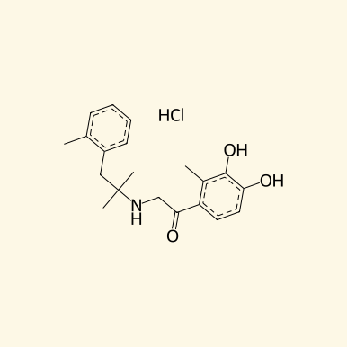 Cc1ccccc1CC(C)(C)NCC(=O)c1ccc(O)c(O)c1C.Cl